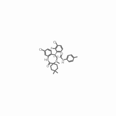 Cc1ccc(NC(=O)[C@H]2[C@H](c3cccc(Cl)c3F)c3ccc(Cl)cc3NC(=O)C3(CCC(C)(C)CC3)N2C)cc1